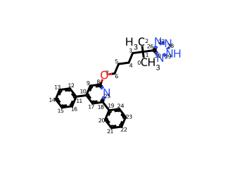 CC(C)(CCCCOc1cc(-c2ccccc2)cc(-c2ccccc2)n1)c1nn[nH]n1